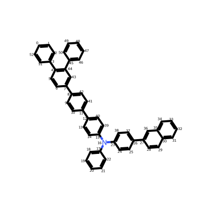 c1ccc(-c2ccc(-c3ccc(-c4ccc(N(c5ccccc5)c5ccc(-c6ccc7ccccc7c6)cc5)cc4)cc3)cc2-c2ccccc2)cc1